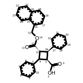 O=C(O)[C@H]1C(c2ccccc2)[C@H](C(=O)OCc2cccc3ccccc23)[C@H]1c1ccccc1